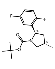 C[C@H]1C[C@H](c2cc(F)ccc2F)N(C(=O)OC(C)(C)C)C1